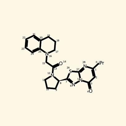 CC(C)c1cc(=O)n2nc([C@H]3CCCN3C(=O)CN3CCCc4ccccc43)sc2n1